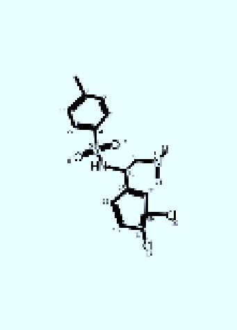 Cc1ccc(S(=O)(=O)N[C@@H](CN(C)C)c2ccc(Cl)c(Cl)c2)cc1